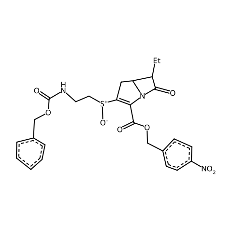 CCC1C(=O)N2C(C(=O)OCc3ccc([N+](=O)[O-])cc3)=C([S+]([O-])CCNC(=O)OCc3ccccc3)CC12